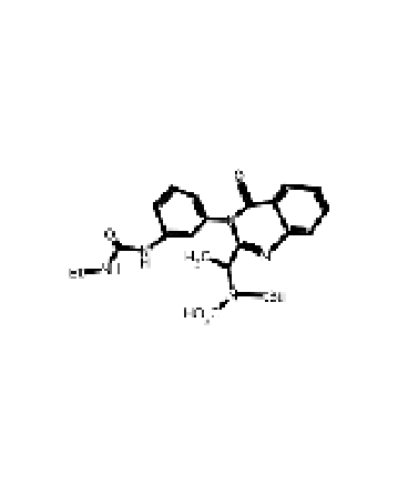 CCNC(=O)Nc1cccc(-n2c(C(C)N(C(=O)O)C(C)(C)C)nc3ccccc3c2=O)c1